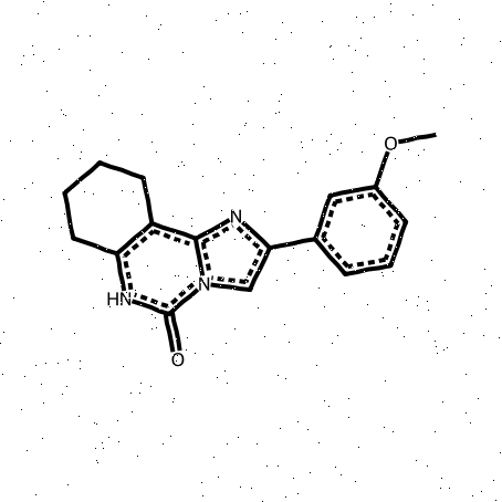 COc1cccc(-c2cn3c(=O)[nH]c4c(c3n2)CCCC4)c1